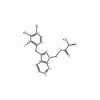 CC(C)[C@H](C)C(=O)OCn1nc(Cc2ccc(Br)c(O)c2F)c2ccnnc21